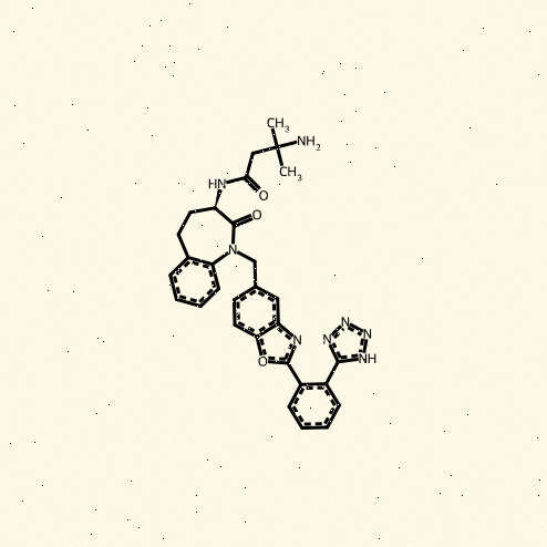 CC(C)(N)CC(=O)N[C@@H]1CCc2ccccc2N(Cc2ccc3oc(-c4ccccc4-c4nnn[nH]4)nc3c2)C1=O